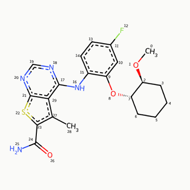 CO[C@H]1CCCC[C@@H]1Oc1cc(F)ccc1Nc1ncnc2sc(C(N)=O)c(C)c12